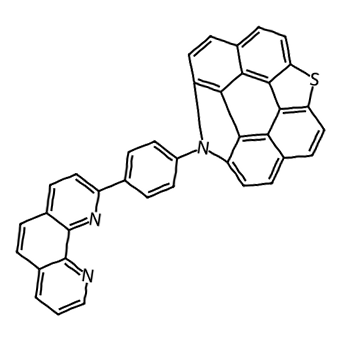 c1cnc2c(c1)ccc1ccc(-c3ccc(-n4c5ccc6ccc7sc8ccc9ccc4c4c9c8c7c6c45)cc3)nc12